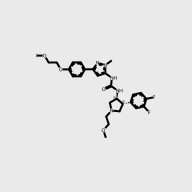 COCCN1C[C@@H](NC(=O)Nc2cc(-c3ccc(OCCOI)cc3)nn2C)[C@H](c2ccc(F)c(F)c2)C1